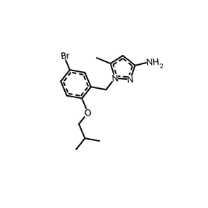 Cc1cc(N)nn1Cc1cc(Br)ccc1OCC(C)C